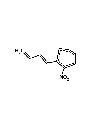 C=CC=Cc1ccccc1[N+](=O)[O-]